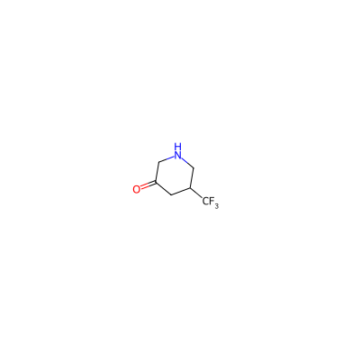 O=C1CNCC(C(F)(F)F)C1